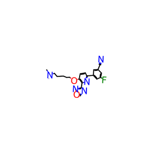 CN(C)CCCCCOc1ccc(-c2cc(F)cc(C#N)c2)nc1-c1ncon1